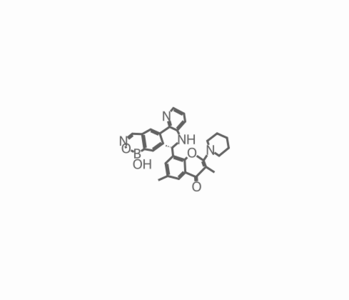 Cc1cc([C@H](C)Nc2cccnc2-c2ccc3c(c2)C=NOB3O)c2oc(N3CCCCC3)c(C)c(=O)c2c1